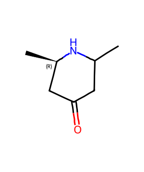 CC1CC(=O)C[C@@H](C)N1